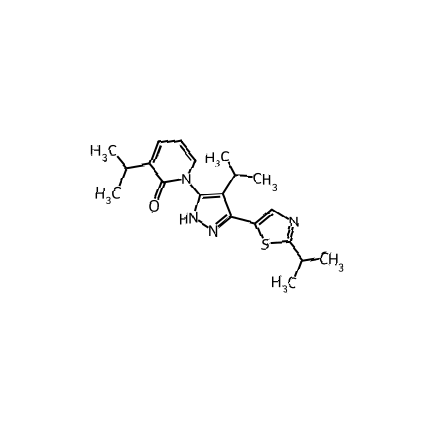 CC(C)c1ncc(-c2n[nH]c(-n3cccc(C(C)C)c3=O)c2C(C)C)s1